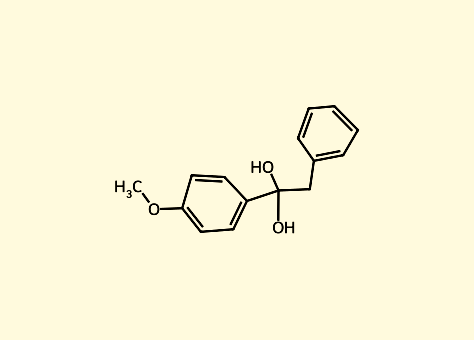 COc1ccc(C(O)(O)Cc2ccccc2)cc1